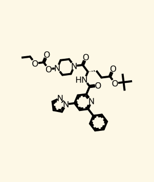 CCOC(=O)ON1CCN(C(=O)[C@H](CCC(=O)OC(C)(C)C)NC(=O)c2cc(-n3cccn3)cc(-c3ccccc3)n2)CC1